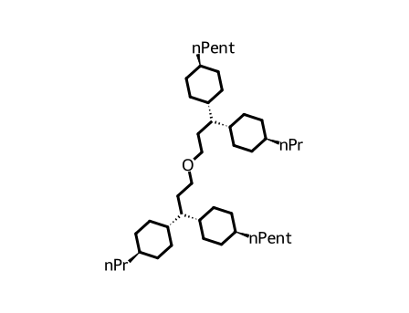 CCCCC[C@H]1CC[C@H](C(CCOCCC([C@H]2CC[C@H](CCC)CC2)[C@H]2CC[C@H](CCCCC)CC2)[C@H]2CC[C@H](CCC)CC2)CC1